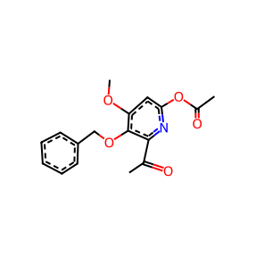 COc1cc(OC(C)=O)nc(C(C)=O)c1OCc1ccccc1